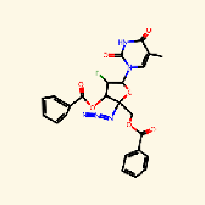 Cc1cn(C2OC(COC(=O)c3ccccc3)(N=[N+]=[N-])C(OC(=O)c3ccccc3)C2F)c(=O)[nH]c1=O